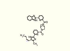 C=C/C=C\c1[nH]c(-c2cccc(C(=O)N3CC4CC3CN4C(=O)c3cccc(-c4nc5ccccc5[nH]4)n3)n2)nc1C